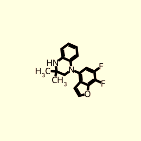 CC1(C)CN(c2cc(F)c(F)c3occc23)c2ccccc2N1